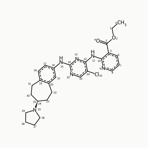 CCOC(=O)c1cccnc1Nc1nc(Nc2ccc3c(c2)CC[C@@H](N2CCCC2)CC3)ncc1Cl